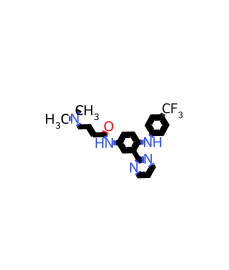 CN(C)C/C=C/C(=O)Nc1ccc(Nc2ccc(C(F)(F)F)cc2)c(-c2ncccn2)c1